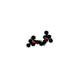 Cc1ccccc1N(c1ccc2cc3c(cc2c1)oc1c3ccc2oc3cc4cc(N(c5ccccc5C)c5cccc6c5c5ccccc5n6-c5ccccc5)ccc4cc3c21)c1cccc2c1c1ccccc1n2-c1ccccc1